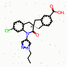 CCCn1cc(N2C(=O)[C@@]3(Cc4ccc(C(=O)O)cc4C3)Cc3ccc(Cl)cc32)cn1